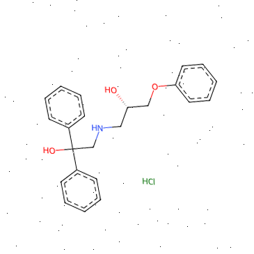 Cl.O[C@@H](CNCC(O)(c1ccccc1)c1ccccc1)COc1ccccc1